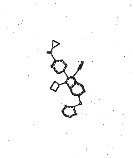 N#Cc1c(-c2ccc(NC3CC3)nc2)n(C2CCC2)c2cc(Oc3ncccn3)ccc12